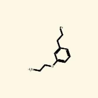 CC(C)CCc1cccc(OCCN)c1